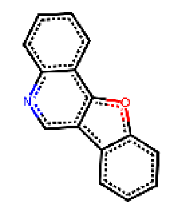 c1ccc2c(c1)ncc1c3ccccc3oc21